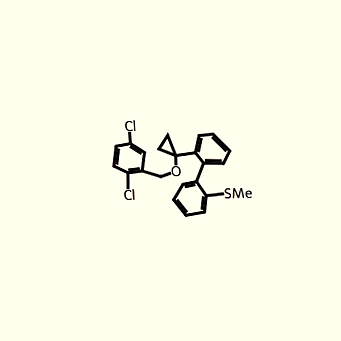 CSc1ccccc1-c1ccccc1C1(OCc2cc(Cl)ccc2Cl)CC1